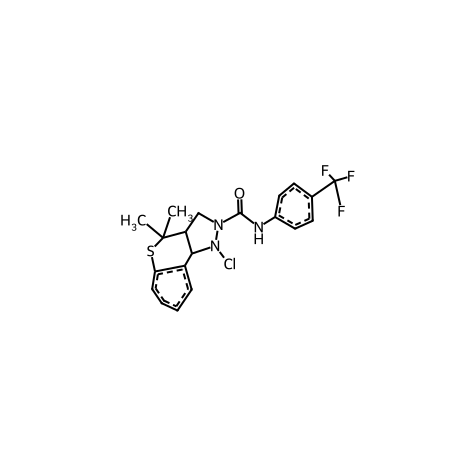 CC1(C)Sc2ccccc2C2C1CN(C(=O)Nc1ccc(C(F)(F)F)cc1)N2Cl